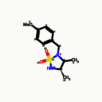 COc1ccc(CN2C(C)[C@H](C)NS2(=O)=O)cc1